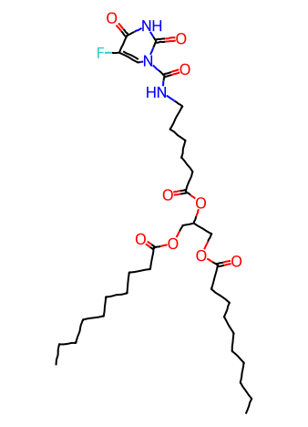 CCCCCCCCCC(=O)OCC(COC(=O)CCCCCCCCC)OC(=O)CCCCCNC(=O)n1cc(F)c(=O)[nH]c1=O